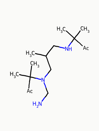 CC(=O)C(C)(C)NCC(C)CN(CN)C(C)(C)C(C)=O